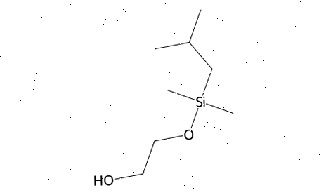 CC(C)C[Si](C)(C)OCCO